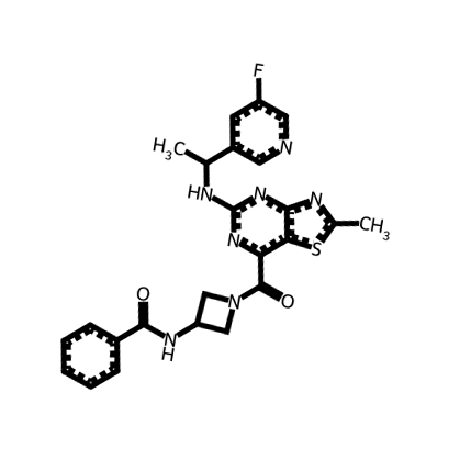 Cc1nc2nc(NC(C)c3cncc(F)c3)nc(C(=O)N3CC(NC(=O)c4ccccc4)C3)c2s1